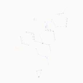 Cn1c2c(c3ccc(Br)cc31)CC1CN(CC3CC3)CCC1(c1cccc(O)c1)C2